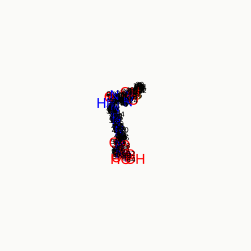 COc1ncc(-c2ccnc(N3CCc4c(sc5c4CCCC5)C3=O)c2[C@H](C)O)cc1Nc1ccc(N2CCN(C3CCN(c4ccc5c(c4)C(=O)N(C4CCC(=O)N(COP(=O)(O)O)C4=O)C5=O)[C@@H](C)C3)C[C@@H]2C)cn1